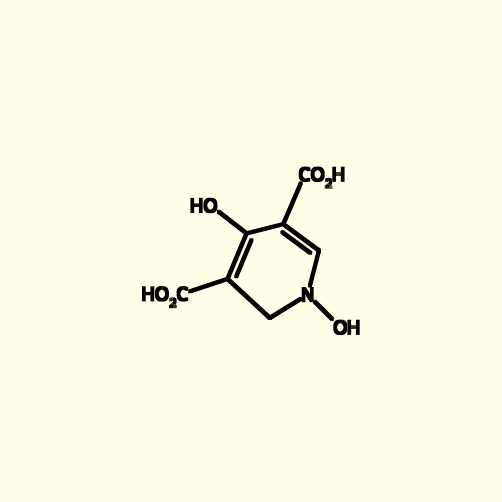 O=C(O)C1=CN(O)CC(C(=O)O)=C1O